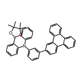 CC1(C)OB(c2ccccc2N(c2ccccc2)c2cccc(-c3ccc4c5ccccc5c5ccccc5c4c3)c2)OC1(C)C